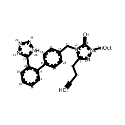 C#CCCc1nn(CCCCCCCC)c(=O)n1Cc1ccc(-c2ccccc2-c2nnn[nH]2)cc1